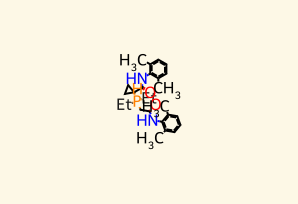 CC[PH](CC)(CC(=O)Nc1c(C)cccc1C)C1(C(=O)Nc2c(C)cccc2C)CC1